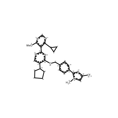 COc1ncnc(C2CC2)c1-c1ncc(C2CCCC2)c(OCc2ccc(-c3nc(C(F)(F)F)cn3C)cc2)n1